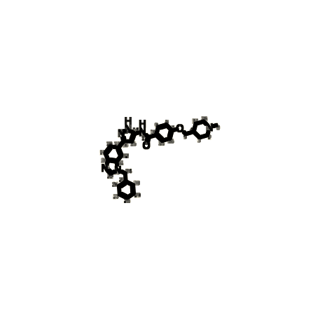 CN1CCC(COc2ccc(C(=O)Nc3cc(-c4ccc5ncn(Cc6ccccc6)c5c4)n[nH]3)cc2)CC1